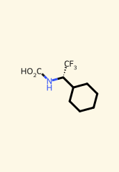 O=C(O)N[C@@H](C1CCCCC1)C(F)(F)F